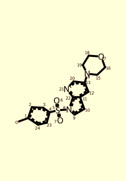 Cc1ccc(S(=O)(=O)n2ccc3cc(N4CCOCC4)cnc32)cc1